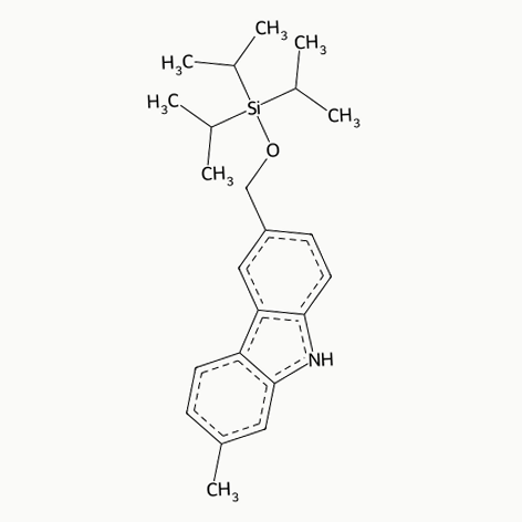 Cc1ccc2c(c1)[nH]c1ccc(CO[Si](C(C)C)(C(C)C)C(C)C)cc12